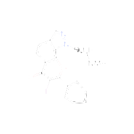 CNC.O=c1c(I)c(-c2ccccc2)oc2c1ccc1cnn(S(=O)(=O)O)c12